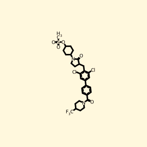 CS(=O)(=O)OC1CCC(N2CCC(Cc3c(Cl)cc(-c4ccc(C(=O)N5CCC(C(F)(F)F)CC5)cc4)cc3Cl)C2=O)CC1